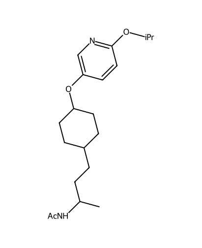 CC(=O)NC(C)CCC1CCC(Oc2ccc(OC(C)C)nc2)CC1